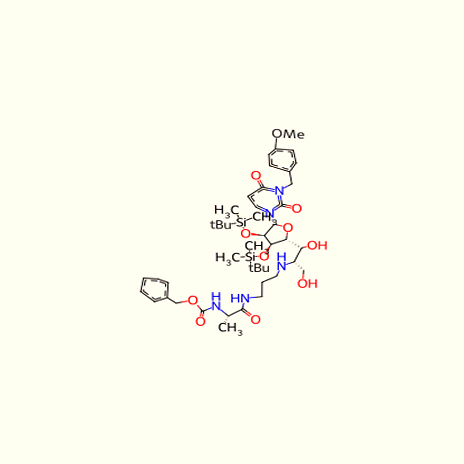 COc1ccc(Cn2c(=O)ccn([C@@H]3O[C@H](C(O)[C@H](CO)NCCCNC(=O)[C@H](C)NC(=O)OCc4ccccc4)[C@@H](O[Si](C)(C)C(C)(C)C)[C@H]3O[Si](C)(C)C(C)(C)C)c2=O)cc1